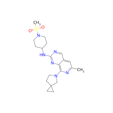 Cc1cc2cnc(NC3CCN(S(C)(=O)=O)CC3)nc2c(N2CCC3(CC3)C2)n1